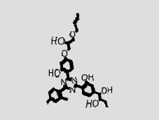 CCCCOCC(O)COc1ccc(-c2nc(-c3ccc(C)cc3C)nc(-c3ccc(C(O)C(O)CC)cc3O)n2)c(O)c1